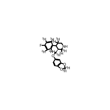 [2H]c1c([2H])c(C2[C@H](C([2H])([2H])Oc3ccc4c(c3)OC([2H])([2H])O4)C([2H])([2H])NCC2([2H])[2H])c([2H])c([2H])c1F